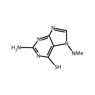 CNn1cnc2nc(N)nc(S)c21